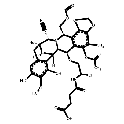 COc1c(C)cc2c(c1O)[C@H]1C3[C@H](SC[C@@H](C)NC(=O)CCC(=O)O)c4c(OC(C)=O)c(C)c5c(c4[C@H](COC=O)N3[C@@H](C#N)[C@H](C2)N1C)OCO5